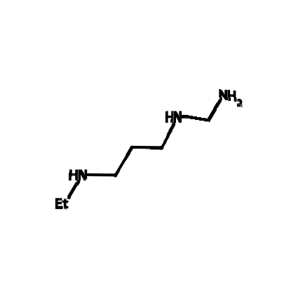 [CH2]CNCCCNCN